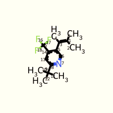 CC(C)=C(C)c1cnc(C(C)(C)C)cc1C(F)(F)F